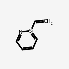 C=C[si]1ccccn1